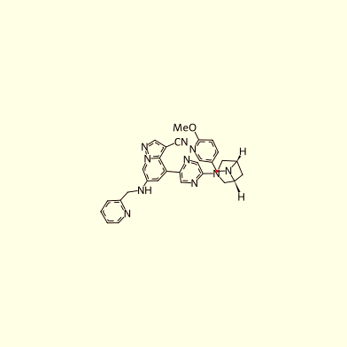 COc1ccc(CN2[C@@H]3C[C@H]2CN(c2cnc(-c4cc(NCc5ccccn5)cn5ncc(C#N)c45)cn2)C3)cn1